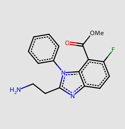 COC(=O)c1c(F)ccc2nc(CCN)n(-c3ccccc3)c12